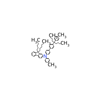 CCCCCCC1(CCCCCC)c2ccccc2-c2ccc(N(c3ccc(C)cc3)c3ccc(-c4ccc(C(CCCC)(CCCC)c5ccc(C)cc5)cc4)cc3)cc21